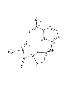 CN(C)C(=O)[C@H]1CC[C@H](Nc2cc[c]c(C(N)=O)n2)C1